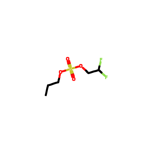 CCCOS(=O)(=O)OCC(F)F